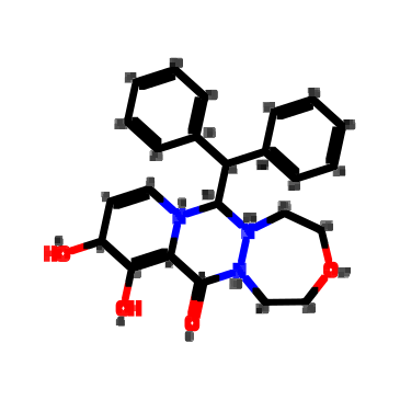 O=C1C2=C(O)C(O)C=CN2C(C(c2ccccc2)c2ccccc2)N2CCOCCN12